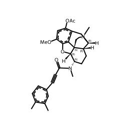 COc1cc(OC(C)=O)c2c3c1O[C@H]1[C@@H](N(C)C(=O)C#Cc4ccc(C)c(C)c4)CC[C@H]4[C@@H](C2)N(C)CC[C@@]341